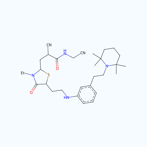 CCN1C(=O)C(CCNc2cccc(CCN3C(C)(C)CCCC3(C)C)c2)SC1CC(C#N)C(=O)NCC#N